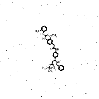 COc1cc(CC(=O)Nc2ccc(C(CC(=O)OC(C)(C)C)NCc3ccccc3)cc2)ccc1NC(=O)Nc1ccccc1C